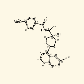 COc1ccc(C(=O)NC(C)[C@]2(O)CC[C@H](c3ccnc4ccc(F)cc43)CC2)cn1